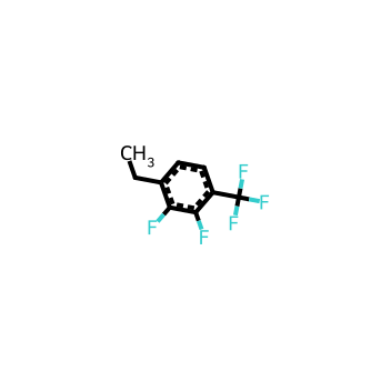 CCc1ccc(C(F)(F)F)c(F)c1F